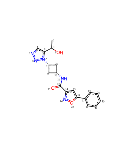 CC(O)c1cnnn1[C@H]1C[C@@H](NC(=O)c2cc(-c3ccccc3)on2)C1